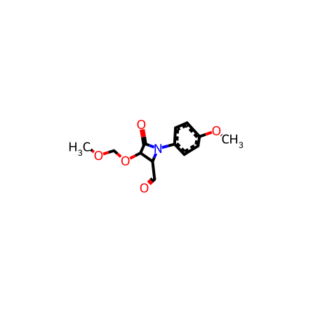 COCOC1C(=O)N(c2ccc(OC)cc2)C1C=O